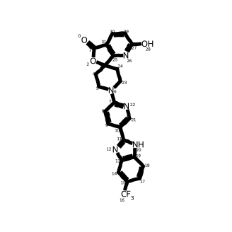 O=C1OC2(CCN(c3ccc(-c4nc5cc(C(F)(F)F)ccc5[nH]4)cn3)CC2)c2nc(O)ccc21